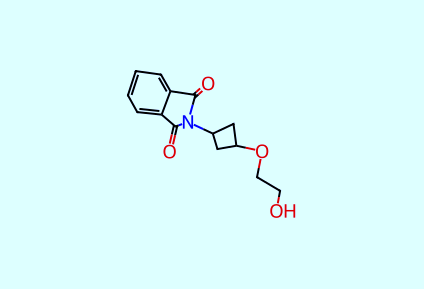 O=C1c2ccccc2C(=O)N1C1CC(OCCO)C1